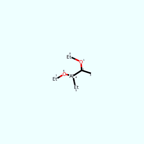 CCO[CH](C)[Al]([CH2]C)[O]CC